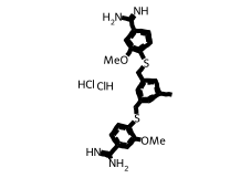 COc1cc(C(=N)N)ccc1SCc1cc(C)cc(CSc2ccc(C(=N)N)cc2OC)c1.Cl.Cl